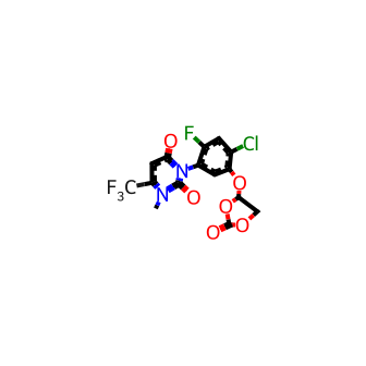 Cn1c(C(F)(F)F)cc(=O)n(-c2cc(OC3COC(=O)O3)c(Cl)cc2F)c1=O